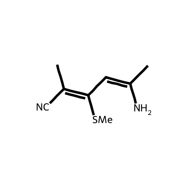 CSC(/C=C(/C)N)=C(/C)C#N